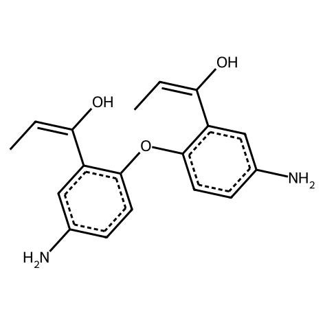 C/C=C(/O)c1cc(N)ccc1Oc1ccc(N)cc1/C(O)=C\C